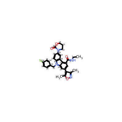 CCNC(=O)c1cc(-c2c(C)noc2C)cc2c1c1cc(N3CCCOC3=O)ccc1n2Cc1ccc(F)cc1